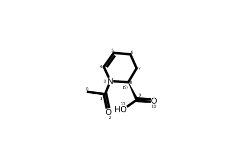 CC(=O)N1C=CCC[C@H]1C(=O)O